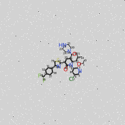 CCOc1ncc(Cl)cc1-n1c(C=C(C)C)c(C(=O)N2CCNCC2)cc(-c2nc(-c3ccc(C(F)F)cc3)cs2)c1=O